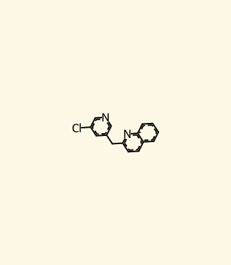 Clc1cncc(Cc2ccc3ccccc3n2)c1